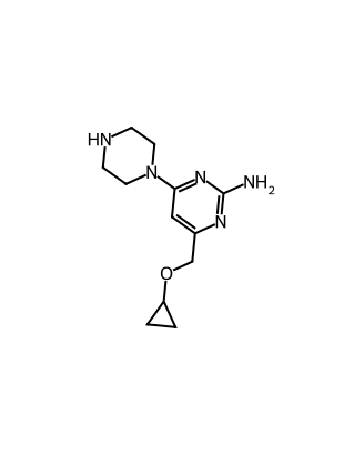 Nc1nc(COC2CC2)cc(N2CCNCC2)n1